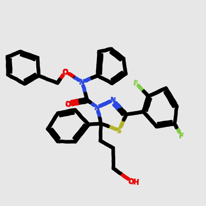 O=C(N(OCc1ccccc1)c1ccccc1)N1N=C(c2cc(F)ccc2F)SC1(CCCO)c1ccccc1